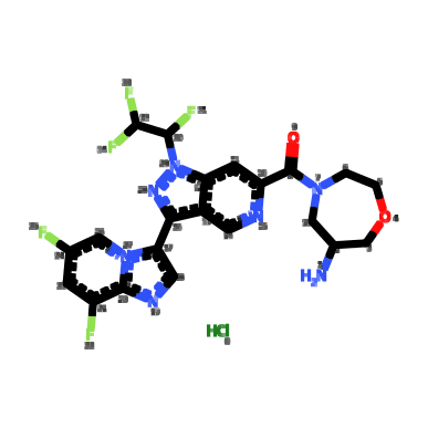 Cl.NC1COCCN(C(=O)c2cc3c(cn2)c(-c2cnc4c(F)cc(F)cn24)nn3C(F)C(F)F)C1